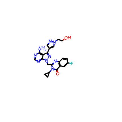 Nc1ncnc2c1c(-c1cnn(CCO)c1)nn2Cc1nc2ccc(F)cc2c(=O)n1C1CC1